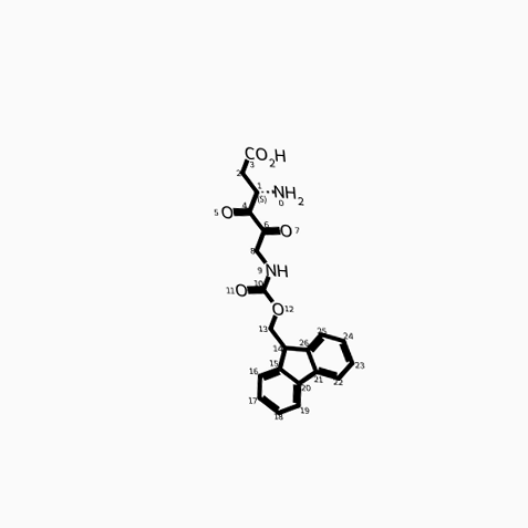 N[C@@H](CC(=O)O)C(=O)C(=O)CNC(=O)OCC1c2ccccc2-c2ccccc21